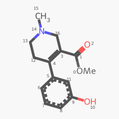 COC(=O)C1=C(c2cccc(O)c2)CCN(C)C1